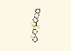 c1ccc2cc3cc4c(cc3cc2c1)sc1c2cc3sc5ccccc5c3cc2sc41